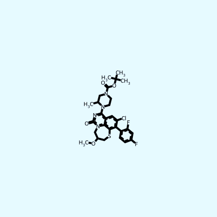 COC1CSc2c(-c3ccc(F)cc3F)c(Cl)cc3c(N4CCN(C(=O)OC(C)(C)C)CC4C)nc(=O)n(c23)C1